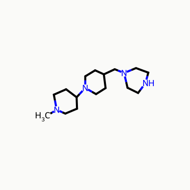 CN1CCC(N2CCC(CN3CCNCC3)CC2)CC1